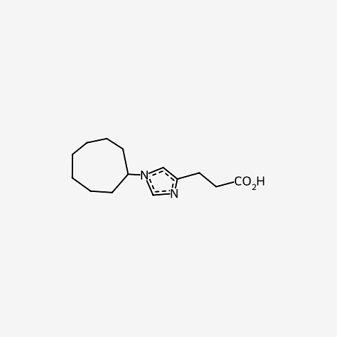 O=C(O)CCc1cn(C2CCCCCCC2)cn1